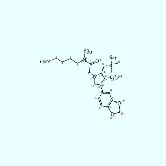 CCCCN(CCCCN)C(=O)CN1C[C@H](c2ccc3c(c2)OCO3)[C@@H](C(=O)O)[C@@H]1CC(C)(C)CCC